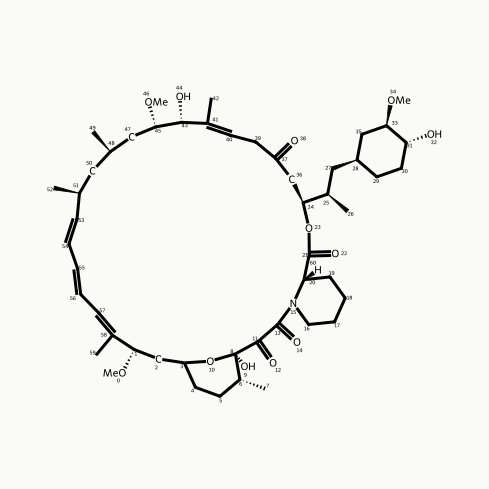 CO[C@H]1CC2CC[C@@H](C)[C@@](O)(O2)C(=O)C(=O)N2CCCC[C@H]2C(=O)O[C@H]([C@H](C)C[C@@H]2CC[C@@H](O)[C@H](OC)C2)CC(=O)C/C=C(\C)[C@@H](O)[C@@H](OC)C[C@H](C)C[C@H](C)/C=C/C=C/C=C/1C